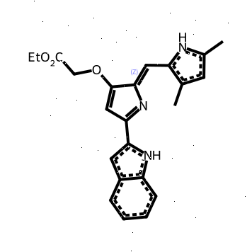 CCOC(=O)COC1=CC(c2cc3ccccc3[nH]2)=N/C1=C\c1[nH]c(C)cc1C